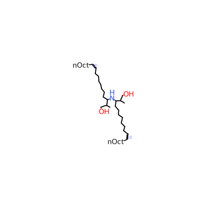 CCCCCCCC/C=C\CCCCCCCC(NC(CCCCCCC/C=C\CCCCCCCC)C(C)CO)C(C)CO